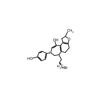 Br.C=CCC1CN(c2ccc(O)cc2)C=C(O)C2=C1CCC1=C2CC(C)O1